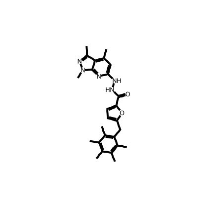 Cc1c(C)c(C)c(Cc2ccc(C(=O)NNc3cc(C)c4c(C)nn(C)c4n3)o2)c(C)c1C